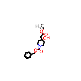 CCOC(=O)CC1(O)CCN(C(=O)OCc2ccccc2)CC1